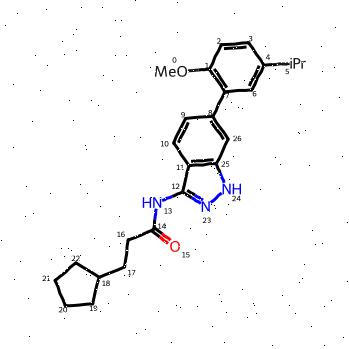 COc1ccc(C(C)C)cc1-c1ccc2c(NC(=O)CCC3CCCC3)n[nH]c2c1